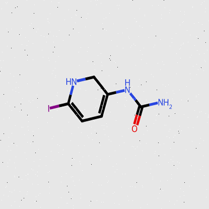 NC(=O)NC1=CC=C(I)NC1